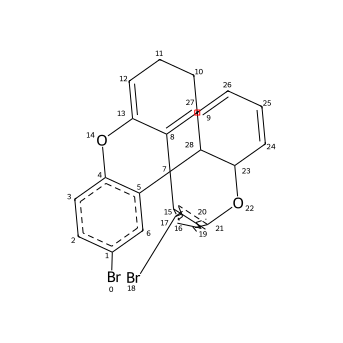 Brc1ccc2c(c1)C1(C3=CCCC=C3O2)c2cc(Br)ccc2OC2C=CC=CC21